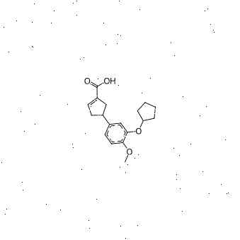 COc1ccc(C2CC=C(C(=O)O)C2)cc1OC1CCCC1